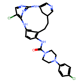 O=C(Nc1ccc2cc1CCC1C=NC=C(C1)Nc1ncc(Cl)c(n1)N2)N1CCN(c2ccc(Cl)cc2)CC1